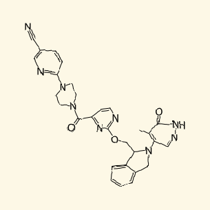 Cc1c(N2Cc3ccccc3C2COc2nccc(C(=O)N3CCN(c4ccc(C#N)cn4)CC3)n2)cn[nH]c1=O